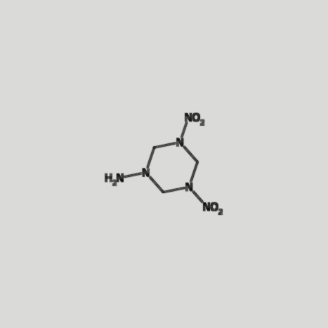 NN1CN([N+](=O)[O-])CN([N+](=O)[O-])C1